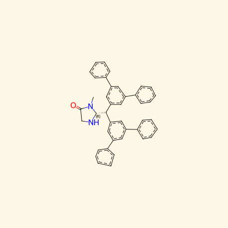 CN1C(=O)CN[C@H]1C(c1cc(-c2ccccc2)cc(-c2ccccc2)c1)c1cc(-c2ccccc2)cc(-c2ccccc2)c1